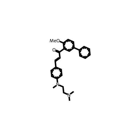 COc1ccc(-c2ccccc2)cc1C(=O)/C=C/c1ccc(N(C)CCN(C)C)cc1